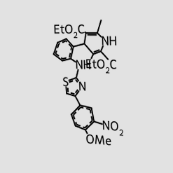 CCOC(=O)C1=C(C)NC(C)=C(C(=O)OCC)C1c1ccccc1Nc1nc(-c2ccc(OC)c([N+](=O)[O-])c2)cs1